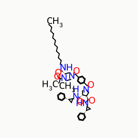 CCCCCCCCCCCCCCNC(=O)[C@@H]1CN(C(=O)c2ccc(C(=O)N3C[C@@H](C(=O)N[C@H]4C[C@@H]4c4ccccc4)[C@H](C(=O)N[C@H]4C[C@@H]4c4ccccc4)C3)cc2)CCN1C(=O)C(C)C